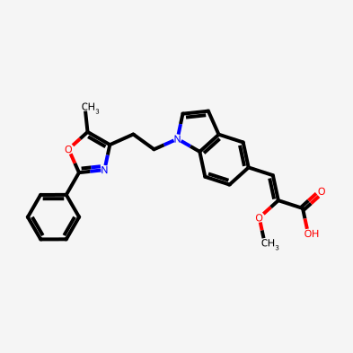 CO/C(=C\c1ccc2c(ccn2CCc2nc(-c3ccccc3)oc2C)c1)C(=O)O